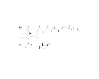 CCCCCCCCCCCC[N+](C)(C)Cc1ccccc1.Cl.[Na+]